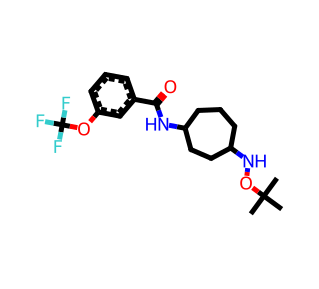 CC(C)(C)ONC1CCCC(NC(=O)c2cccc(OC(F)(F)F)c2)CC1